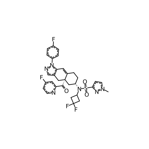 Cn1ccc(S(=O)(=O)N(C2CC(F)(F)C2)[C@H]2CCC3=Cc4c(cnn4-c4ccc(F)cc4)C[C@]3(C(=O)c3cc(F)ccn3)C2)n1